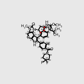 COC(=O)N[C@@H]1CC[C@@H](n2c(=O)n(C)c3cnc4[nH]c(-c5ccc(C(=O)N6CCC(F)(F)CC6)c(F)c5)c(-c5ccc6c(cnn6C(C)C)c5)c4c32)C1